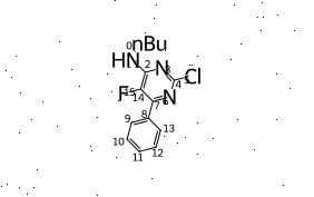 CCCCNc1nc(Cl)nc(-c2ccccc2)c1F